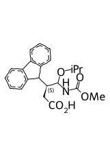 COC(=O)NC(OC(C)C)[C@@H](CC(=O)O)C1c2ccccc2-c2ccccc21